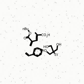 C=C(C=C(C)C(=O)O)C(=O)OCCCC.C=Cc1ccccc1.CCC(CO)(CO)CO